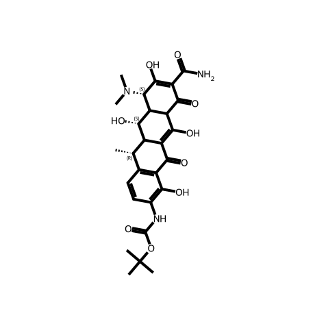 C[C@H]1c2ccc(NC(=O)OC(C)(C)C)c(O)c2C(=O)C2=C(O)C3C(=O)C(C(N)=O)=C(O)[C@@H](N(C)C)C3[C@@H](O)C21